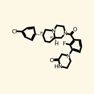 O=C1CN(c2cccc(C(=O)N3CCN4C[C@@H](c5ccc(Cl)cc5)CC[C@@H]4C3)c2F)CCN1